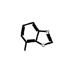 [CH2]c1cccc2ncoc12